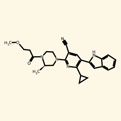 COCCC(=O)N1CCN(c2nc(C3CC3)c(-c3cc4ccccc4[nH]3)cc2C#N)C[C@H]1C